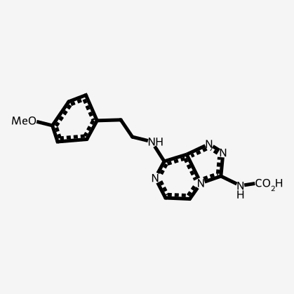 COc1ccc(CCNc2nccn3c(NC(=O)O)nnc23)cc1